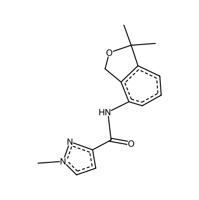 Cn1ccc(C(=O)Nc2cccc3c2COC3(C)C)n1